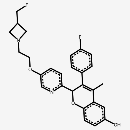 CC1=C(c2ccc(F)cc2)C(c2ccc(OCCN3CC(CF)C3)cn2)Oc2ccc(O)cc21